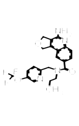 CCCN(Cc1ccc(OC(F)(F)F)cn1)C(=O)c1ccc2nc(N)c3c(c2c1)COC3